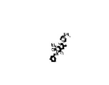 CCn1c(=O)n(OCc2ccccc2)c(=O)c2cc(F)c(N3CCN(C)CC3)nc21